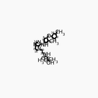 Cc1cccc(Oc2ccc(Nc3ncnc4ccn(CCNC(=O)CC(C)(C)O)c34)cc2C)c1